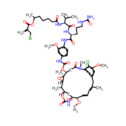 C=C(CBr)C(=O)OC(C)CCCCC(=O)N[C@H](C(=O)N[C@@H](CCCNC(N)=O)C(=O)Nc1ccc(NC(=O)O[C@H]2CC(=O)N(C)c3cc(cc(OC)c3Cl)C/C(C)=C/C=C/[C@@H](OC)[C@@]3(O)C[C@H](OC(=O)N3)[C@@H](C)[C@@H]3O[C@@]23C)cc1OC)C(C)C